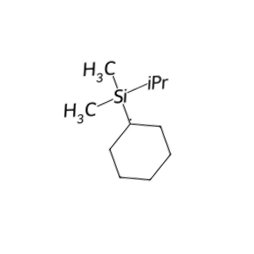 CC(C)[Si](C)(C)[C]1CCCCC1